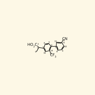 CC(C(=O)O)c1ccc(-c2cccc(C#N)c2)c(C(F)(F)F)c1